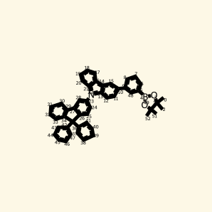 CC1(C)OB(c2cccc(-c3ccc4c(c3)c3ccccc3n4-c3ccc4c(c3)-c3ccccc3C4(c3ccccc3)c3ccccc3)c2)OC1(C)C